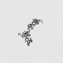 CC1(C)C(=O)N(c2ccc(C#N)c(C(F)(F)F)c2)C(=O)N1C/C=C\CN1CCN(c2ccc(S(C)(=O)=O)c(Cl)c2)C1=O